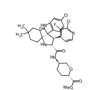 COC(=O)[C@@H]1CC[C@@H](NC(=O)[C@@H]2NC3(CCC(C)(C)CC3)[C@@]3(C(=O)Nc4cc(Cl)ccc43)[C@H]2c2ccnc(Cl)c2F)CO1